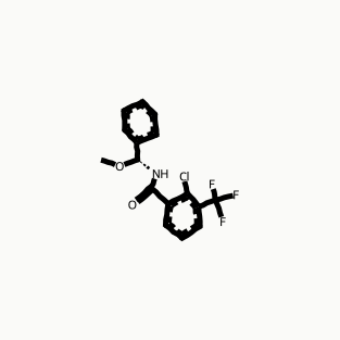 CO[C@@H](NC(=O)c1cccc(C(F)(F)F)c1Cl)c1ccccc1